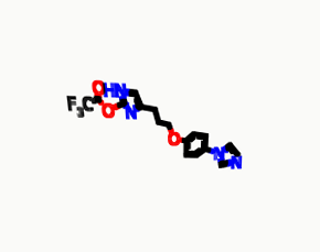 O=C(Oc1nc(CCCOc2ccc(-n3ccnc3)cc2)c[nH]1)C(F)(F)F